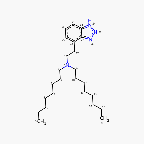 CCCCCCCCN(CCCCCCCC)CCc1cccc2[nH]nnc12